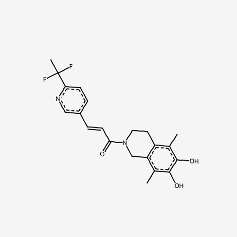 Cc1c(O)c(O)c(C)c2c1CCN(C(=O)/C=C/c1ccc(C(C)(F)F)nc1)C2